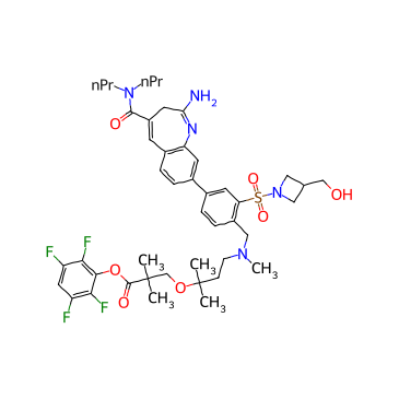 CCCN(CCC)C(=O)C1=Cc2ccc(-c3ccc(CN(C)CCC(C)(C)OCC(C)(C)C(=O)Oc4c(F)c(F)cc(F)c4F)c(S(=O)(=O)N4CC(CO)C4)c3)cc2N=C(N)C1